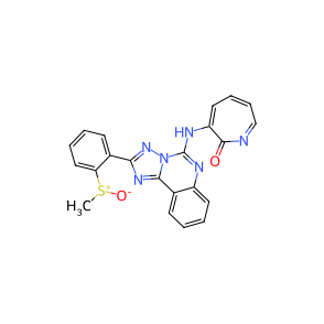 C[S+]([O-])c1ccccc1-c1nc2c3ccccc3nc(Nc3ccccnc3=O)n2n1